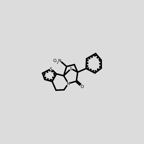 O=C1N2CCc3ccsc3C23SC1(c1ccccc1)CC3[N+](=O)[O-]